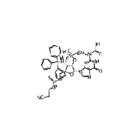 CC(C)C(=O)Nc1nc2c(ncn2[C@@H]2OC(CO[PH](=S)OCCC#N)[C@H](NC(c3ccccc3)(c3ccccc3)c3ccccc3)C2O[Si](C)(C)C(C)(C)C)c(=O)[nH]1